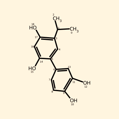 CC(C)c1cc(-c2ccc(O)c(O)c2)c(O)cc1O